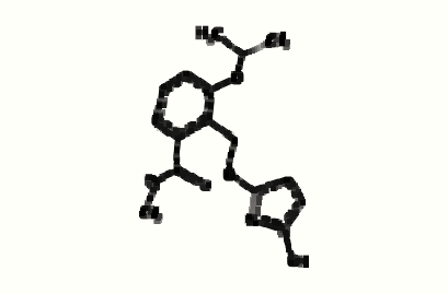 COC(=O)c1cccc(OC(C)C)c1COc1ccn(O)n1